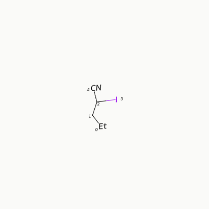 CCCC(I)C#N